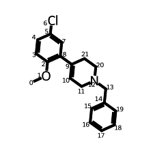 COc1ccc(Cl)cc1C1=CCN(Cc2ccccc2)CC1